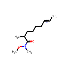 C/C=C/CCCCC(C)C(=O)N(C)OC